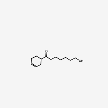 O=C(CCCCCCO)C1CC=CCC1